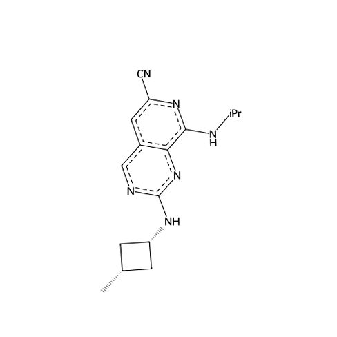 CC(C)Nc1nc(C#N)cc2cnc(N[C@H]3C[C@@H](C)C3)nc12